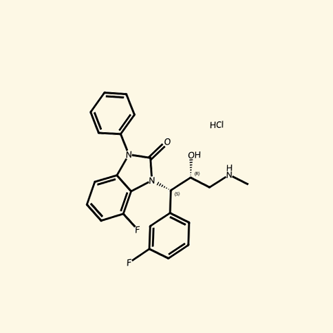 CNC[C@@H](O)[C@H](c1cccc(F)c1)n1c(=O)n(-c2ccccc2)c2cccc(F)c21.Cl